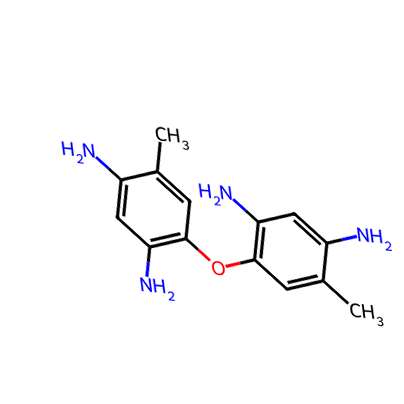 Cc1cc(Oc2cc(C)c(N)cc2N)c(N)cc1N